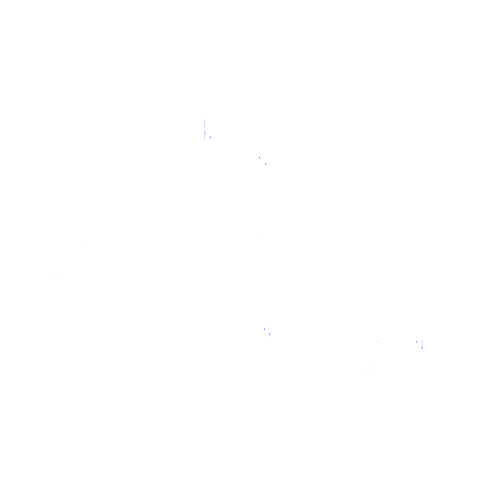 CN(C)C(=O)C(O)c1cncc(-c2cnc3[nH]cc(-c4ccc(F)cc4)c3c2)c1